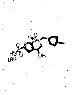 Cc1ccc(CN2CC(O)c3cc(S(=O)(=O)NC(C)(C)C)sc3S2(=O)=O)cc1